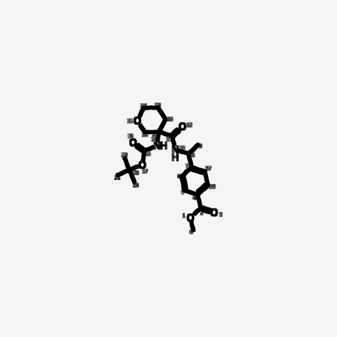 COC(=O)c1ccc(C(C)NC(=O)C2(NC(=O)OC(C)(C)C)CCCOC2)cc1